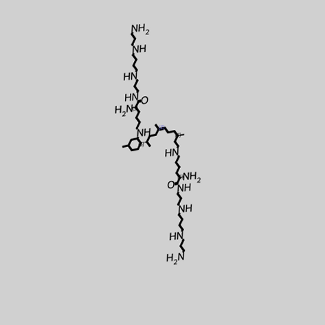 C/C(=C/CC[C@@H](C)CCNCCCC[C@H](N)C(=O)NCCCNCCCCNCCCN)CCC(C)[C@@H]1CCC(C)CC1NCCCC[C@H](N)C(=O)NCCCNCCCCNCCCN